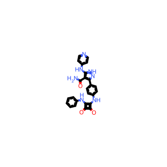 NC(=O)c1c(-c2ccc(Nc3c(Nc4ccccc4)c(=O)c3=O)cc2)n[nH]c1Nc1ccncc1